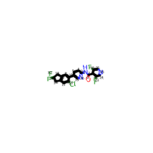 O=C(Nc1ccc(-c2cc3c(cc2Cl)CC(F)(F)C3)cn1)c1c(F)cncc1F